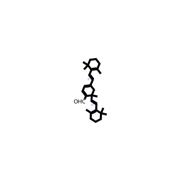 CC1=C(/C=C/C2=CC=C(C=O)C(C)(/C=C/C3=C(C)CCCC3(C)C)C2)C(C)(C)CCC1